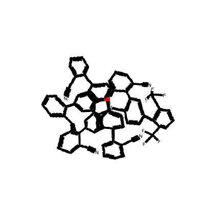 N#Cc1ccccc1-c1ccc2c(c1)c1cc(-c3ccccc3C#N)ccc1n2-c1ccc(-c2c(C(F)(F)F)cccc2C(F)(F)F)cc1-c1c(C#N)cccc1-n1c2ccc(-c3ccccc3C#N)cc2c2cc(-c3ccccc3C#N)ccc21